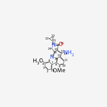 COc1ccc(C)cc1-c1cccc2c(N)c3c(nc12)CN(C1CC1)C3=O